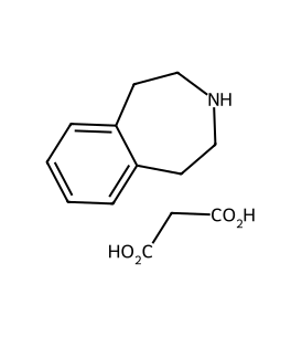 O=C(O)CC(=O)O.c1ccc2c(c1)CCNCC2